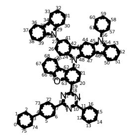 c1ccc(-c2ccc(-c3nc(-c4ccccc4)nc(-c4ccc(-n5c6ccc(-n7c8ccccc8c8ccccc87)cc6c6cc7c(cc65)c5ccccc5n7-c5ccccc5)c5c4oc4ccccc45)n3)cc2)cc1